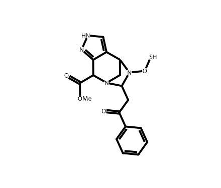 COC(=O)C1c2n[nH]cc2C2CN1C(CC(=O)c1ccccc1)N2OS